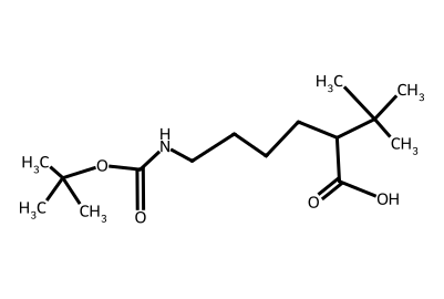 CC(C)(C)OC(=O)NCCCCC(C(=O)O)C(C)(C)C